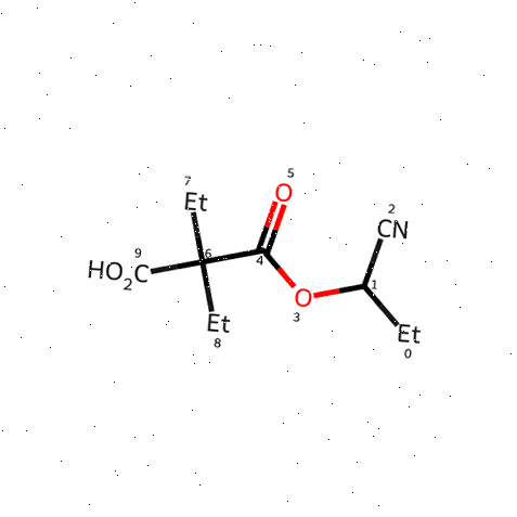 CCC(C#N)OC(=O)C(CC)(CC)C(=O)O